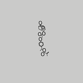 C=C(C)C(=O)OC(C)c1ccc(OCC(=O)OC2C3CC4CC(C3)C(=O)OC2C4)cc1